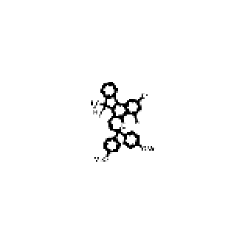 COc1ccc(C2(c3ccc(OC)cc3)C=Cc3c4c(c5cc(Br)cc(Br)c5c3O2)-c2ccccc2C4(C)C)cc1